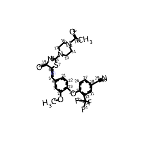 COc1cc(/C=C2\SC(N3CCN(C(C)=O)CC3)=NC2=O)ccc1Oc1ccc(C#N)cc1C(F)(F)F